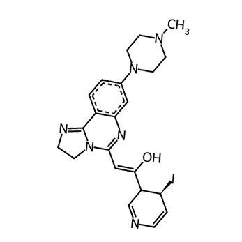 CN1CCN(c2ccc3c(c2)N=C(/C=C(\O)C2C=NC=C[C@@H]2I)N2CCN=C32)CC1